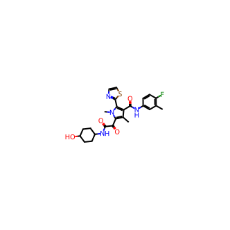 Cc1cc(NC(=O)c2c(C)c(C(=O)C(=O)NC3CCC(O)CC3)n(C)c2-c2nccs2)ccc1F